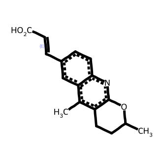 Cc1c2c(nc3ccc(/C=C/C(=O)O)cc13)OC(C)CC2